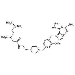 CCCCCNc1nc(N)nc2ccn(Cc3ccc(CN4CCN(CCNC(=O)CC(SC[C@H](N)C(=O)O)C(=O)O)CC4)cc3OC)c12